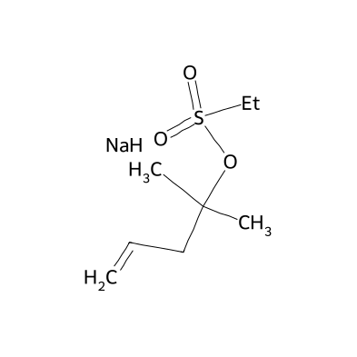 C=CCC(C)(C)OS(=O)(=O)CC.[NaH]